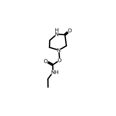 CCNC(=O)ON1CCNC(=O)C1